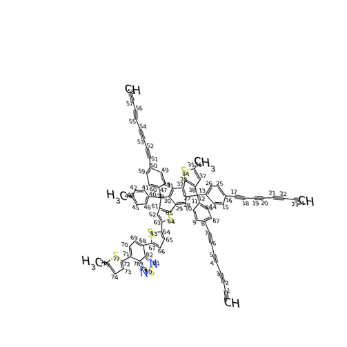 C#CC#CC#CC#Cc1ccc(C2(c3ccc(C#CC#CC#CC#C)cc3)c3cc4c(cc3-c3sc(C)cc32)C(c2ccc(C)cc2)(c2ccc(C#CC#CC#CC#C)cc2)c2cc(-c3ccc(-c5ccc(-c6ccc(C)s6)c6nsnc56)s3)sc2-4)cc1